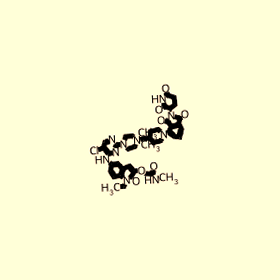 CCn1c(=O)c(OCC(=O)NC)cc2cc(Nc3nc(N4CCN(C(C)(C)C5CCN(c6cccc7c6C(=O)N([C@@H]6CCC(=O)NC6=O)C7=O)CC5)CC4)ncc3Cl)ccc21